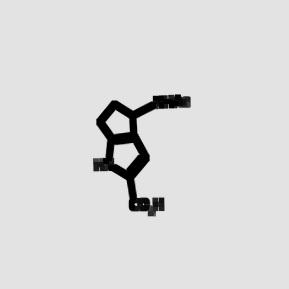 CC(=O)NC1CCc2[nH]c(C(=O)O)cc21